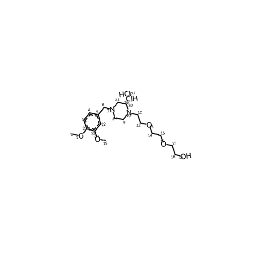 COc1ccc(CN2CCN(CCOCCOCCO)CC2)cc1OC.Cl.Cl